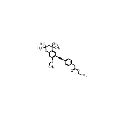 CCOC(=O)Cc1ccc(C#Cc2cc3c(cc2SCC)OC(C)(C)CC3(C)C)cc1